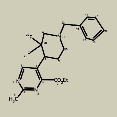 CCOC(=O)c1nc(C)ncc1C1CCN(Cc2ccccc2)CC1(F)F